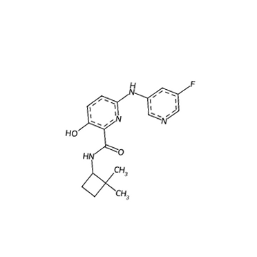 CC1(C)CCC1NC(=O)c1nc(Nc2cncc(F)c2)ccc1O